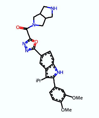 COc1ccc(-c2[nH]c3ccc(-c4nnc(C(=O)N5CC6CNCC6C5)o4)cc3c2C(C)C)cc1OC